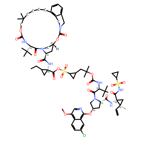 C=C[C@]1(C)C[C@]1(NC(=O)[C@@H]1C[C@@H](Oc2ncc(OC)c3ccc(Cl)cc23)CN1C(=O)[C@@H](NC(=O)OC(C)(C)CC1CC1S(=O)(=O)OC(=O)[C@@]1(NC(=O)[C@@H]2C[C@@H]3CN2C(=O)[C@H](C(C)(C)C)NC(=O)OCC(C)(C)CCCCc2cccc4c2CN(C4)C(=O)O3)CC1CC)C(C)(C)C)C(=O)NS(=O)(=O)C1CC1